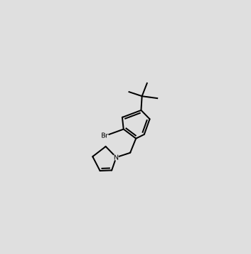 CC(C)(C)c1ccc(CN2C=CCC2)c(Br)c1